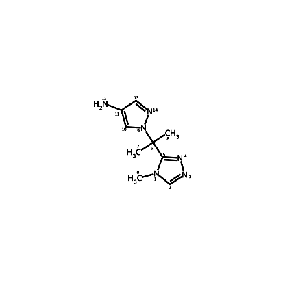 Cn1cnnc1C(C)(C)n1cc(N)cn1